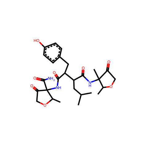 CC(C)C[C](C(=O)NC1(C)C(=O)COC1C)C(Cc1ccc(O)cc1)C(=O)NC1(C(N)=O)C(=O)COC1C